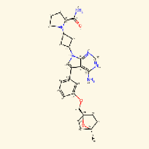 NC(=O)[C@@H]1CCCN1C1CC(n2cc(-c3cccc(OC[C@]45CC[C@@H](CC4)O5)c3)c3c(N)ncnc32)C1